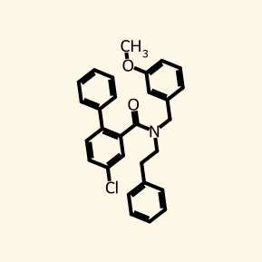 COc1cccc(CN(CCc2ccccc2)C(=O)c2cc(Cl)ccc2-c2ccccc2)c1